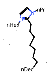 CCCCCCCCCCCCCCCCCc1n(CCC)cc[n+]1CCCCCC